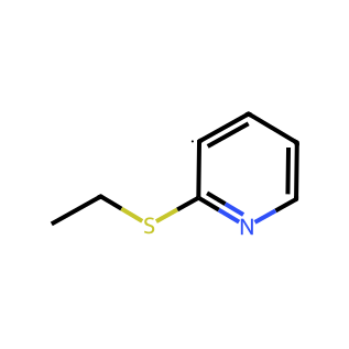 CCSc1[c]cccn1